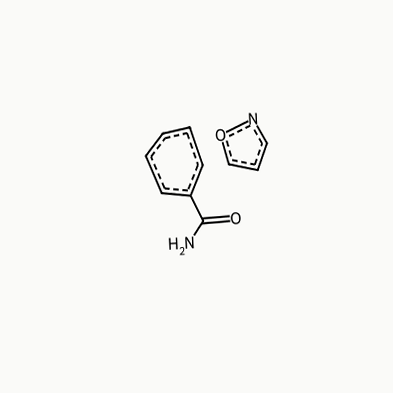 NC(=O)c1ccccc1.c1cnoc1